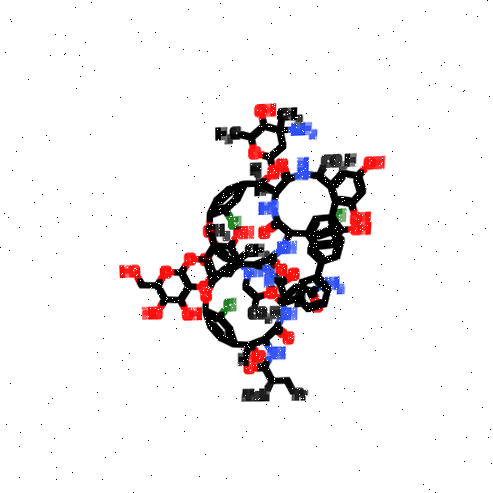 CN[C@H](CC(C)C)C(=O)NC1C(=O)N[C@@H](CC(N)=O)C(=O)NC2C(=O)NC3C(=O)N[C@H](C(=O)N[C@@H](C(=O)O)c4cc(O)cc(O)c4-c4cc3ccc4O)[C@H](OC3CC(C)(N)C(O)C(C)O3)c3ccc(c(Cl)c3)Oc3cc2cc(c3OC2OC(CO)C(O)C(O)C2OC2CC(C)(NCC(OCc3cccc(-c4ccc(Cl)cc4)c3)C(=O)O)C(O)C(C)O2)Oc2ccc(cc2Cl)[C@H]1O